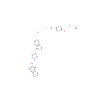 COc1ccc2c(c1)c(=O)c(C(=O)Nc1ccc(Cc3ncnc4cc(OCC(=O)N5CCC(CC(=O)Nc6ccc7c(c6)CN(C6CCC(=O)NC6=O)C7=O)CC5)c(OC)cc34)c(F)c1)c(C)n2C